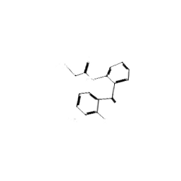 Br.NCC(=O)Nc1ccccc1C(=O)c1ccccc1F